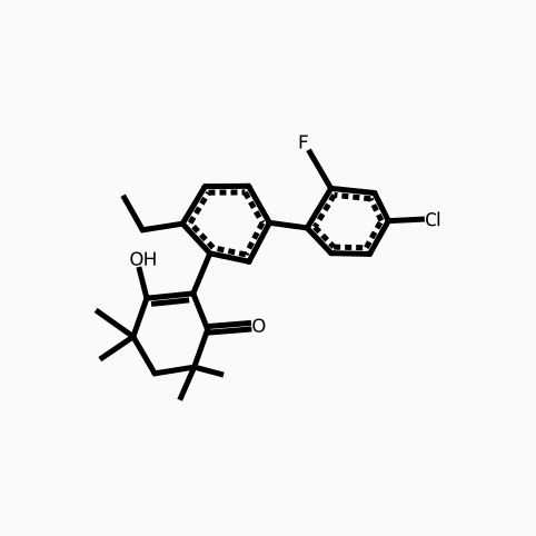 CCc1ccc(-c2ccc(Cl)cc2F)cc1C1=C(O)C(C)(C)CC(C)(C)C1=O